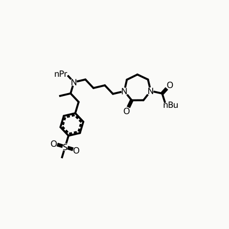 CCCCC(=O)N1CCCN(CCCCN(CCC)C(C)Cc2ccc(S(C)(=O)=O)cc2)C(=O)C1